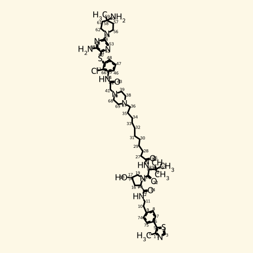 Cc1ncsc1-c1ccc(CCNC(=O)[C@H]2C[C@@H](O)CN2C(=O)[C@H](NC(=O)CCCCCCCCCCN2CCN(CC(=O)Nc3cccc(Sc4ncc(N5CCC(C)(N)CC5)nc4N)c3Cl)CC2)C(C)(C)C)cc1